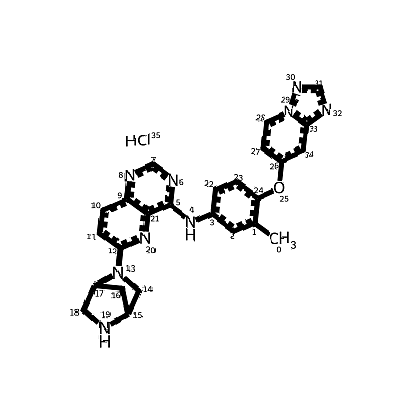 Cc1cc(Nc2ncnc3ccc(N4CC5CC4CN5)nc23)ccc1Oc1ccn2ncnc2c1.Cl